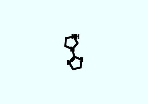 C1CSC(N2CCNC2)=N1